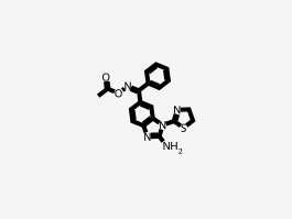 CC(=O)O/N=C(/c1ccccc1)c1ccc2nc(N)n(C3=NCCS3)c2c1